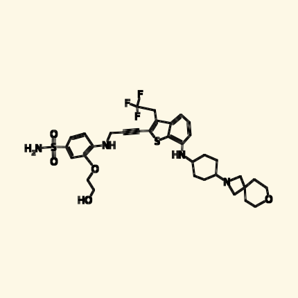 NS(=O)(=O)c1ccc(NCC#Cc2sc3c(NC4CCC(N5CC6(CCOCC6)C5)CC4)cccc3c2CC(F)(F)F)c(OCCO)c1